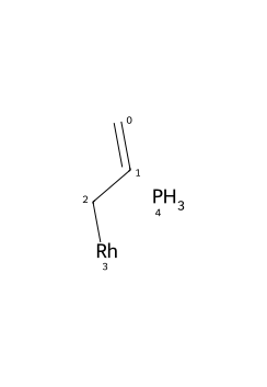 C=C[CH2][Rh].P